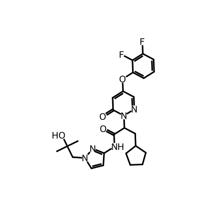 CC(C)(O)Cn1ccc(NC(=O)C(CC2CCCC2)n2ncc(Oc3cccc(F)c3F)cc2=O)n1